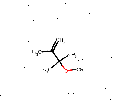 C=C(C)C(C)(C)OC#N